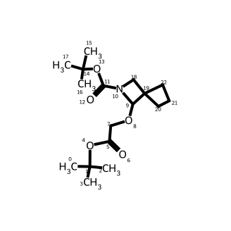 CC(C)(C)OC(=O)COC1N(C(=O)OC(C)(C)C)CC12CCC2